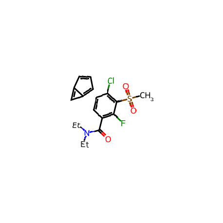 CCN(CC)C(=O)c1ccc(Cl)c(S(C)(=O)=O)c1F.c1cc2cc-2c1